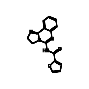 O=C(NC1=Nc2ccccc2C2=NCCN12)c1ccco1